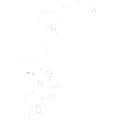 CNC(=O)OCC[C@@H]1CN(CC#Cc2cccc3c2n(C)c(=O)n3C2CCC(=O)NC2=O)CCO1